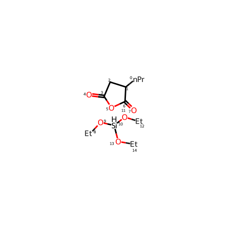 CCCC1CC(=O)OC1=O.CCO[SiH](OCC)OCC